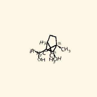 CC(C)C(O)C1[C@H]2CC[C@](C)([C@H]1O)C2(C)C